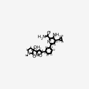 CN1CCC(O)(c2cc(-c3cccc(-c4cc(C5CC5)c(N)c(C(N)=O)n4)c3)on2)C1=O